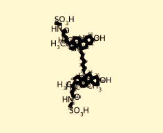 C[C@@H](CCC(=O)NCCS(=O)(=O)O)[C@H]1CC[C@H]2[C@@H]3[C@@H](CCCCCCC[C@H]4CC5C[C@H](O)CC[C@]5(C)[C@H]5CC[C@]6(C)[C@@H]([C@@H](C)CCC(=O)NCCS(=O)(=O)O)CC[C@H]6[C@H]45)CC4C[C@H](O)CC[C@]4(C)[C@H]3CC[C@]12C